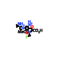 COc1c(N2CC[C@@H](C3(N)CC3)C2)cc(N)c2c1[N+]([O-])([C@@H]1C[C@H]1F)C=C(C(=O)O)C2=O